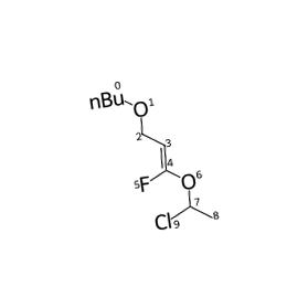 CCCCOCC=C(F)OC(C)Cl